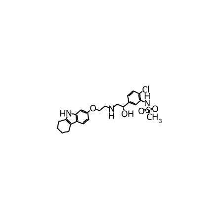 CS(=O)(=O)Nc1cc([C@@H](O)CNCCOc2ccc3c4c([nH]c3c2)CCCC4)ccc1Cl